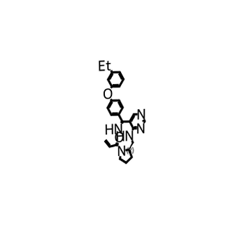 C=CC(=O)N1CCC[C@@H]1CNc1ncncc1C(=N)c1ccc(Oc2cccc(CC)c2)cc1